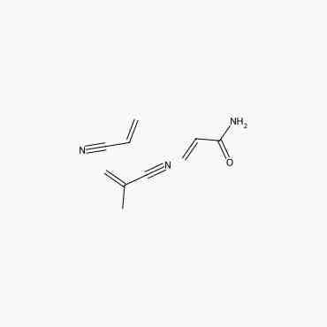 C=C(C)C#N.C=CC#N.C=CC(N)=O